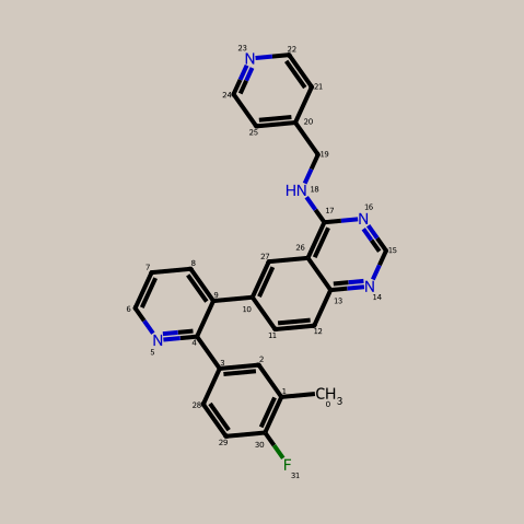 Cc1cc(-c2ncccc2-c2ccc3ncnc(NCc4ccncc4)c3c2)ccc1F